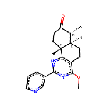 COc1nc(-c2cccnc2)nc2c1CC[C@@H]1[C@@H](C)C(=O)CC[C@@]21C